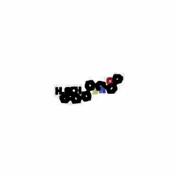 CC1(C)c2ccccc2-c2ccc(-c3cccc(-c4cccc5c4sc4nc(-c6cccc7c6oc6ccccc67)ccc45)c3)cc21